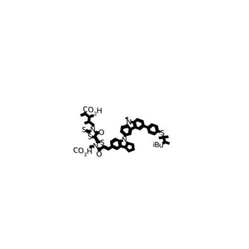 CCC(C)C(C)C(C)(C)Sc1ccc(-c2ccc3c(c2)c2cc(N4c5ccc(/C=c6\s/c(=C7/SC(=S)N(CC(C)C(C)C(C)C(=O)O)C7=O)n(CC(=O)O)c6=O)cc5C5CCCC54)ccc2n3C)cc1